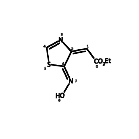 CCOC(=O)C=C1N=CSC1=NO